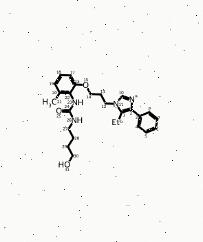 CCc1c(-c2ccccc2)ncn1CCCOc1cccc(C)c1NC(=O)NCCCCO